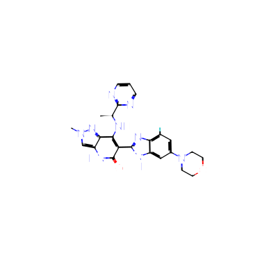 C[C@H](Nc1c(-c2nc3c(F)cc(N4CCOCC4)cc3[nH]2)c(=O)[nH]c2cn(C)nc12)c1ncccn1